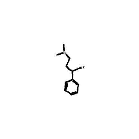 CCC(CCN(C)C)c1ccccc1